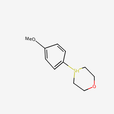 COc1ccc([SH]2CCOCC2)cc1